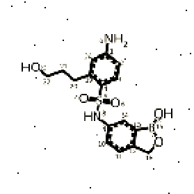 Nc1ccc(S(=O)(=O)Nc2ccc3c(c2)B(O)OC3)c(CCCO)c1